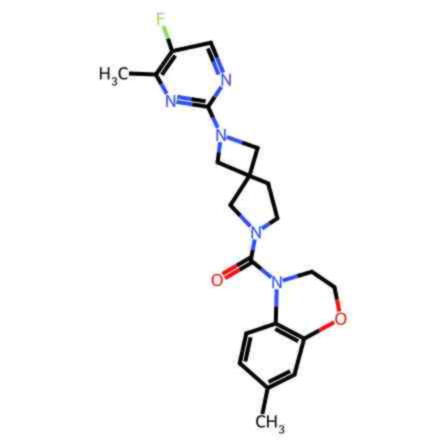 Cc1ccc2c(c1)OCCN2C(=O)N1CCC2(C1)CN(c1ncc(F)c(C)n1)C2